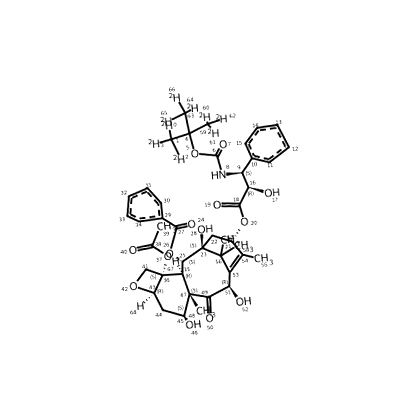 [2H]C([2H])([2H])C(OC(=O)N[C@@H](c1ccccc1)[C@@H](O)C(=O)O[C@H]1C[C@@]2(O)[C@@H](OC(=O)c3ccccc3)[C@@H]3[C@]4(OC(C)=O)CO[C@@H]4C[C@H](O)[C@@]3(C)C(=O)[C@H](O)C(=C1C)C2(C)C)(C([2H])([2H])[2H])C([2H])([2H])[2H]